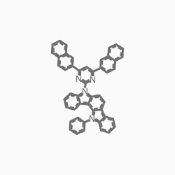 c1ccc(-n2c3ccccc3c3ccc4c(c5ccccc5n4-c4nc(-c5ccc6ccccc6c5)cc(-c5ccc6ccccc6c5)n4)c32)cc1